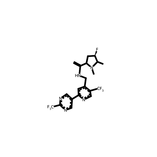 C=C(NCc1cc(-c2cnc(C(F)(F)F)nc2)ncc1C(F)(F)F)C1C[C@@H](F)C(C)N1C